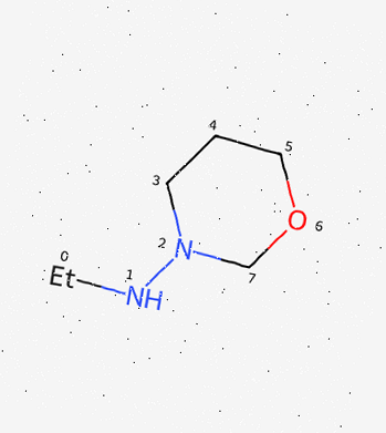 CCNN1CCCOC1